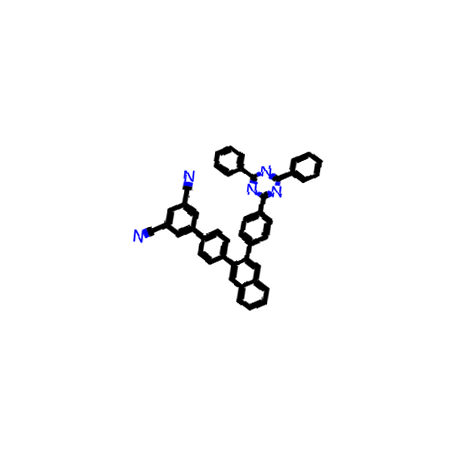 N#Cc1cc(C#N)cc(-c2ccc(-c3cc4ccccc4cc3-c3ccc(-c4nc(-c5ccccc5)nc(-c5ccccc5)n4)cc3)cc2)c1